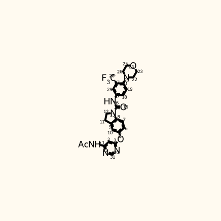 CC(=O)Nc1cc(Oc2ccc3c(c2)CCN3C(=O)Nc2ccc(N3CCOCC3)c(C(F)(F)F)c2)ncn1